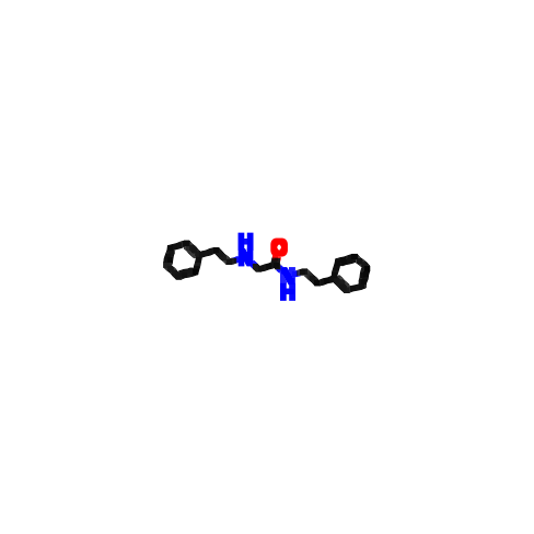 O=C(CNCCc1ccccc1)NCCc1ccccc1